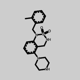 Cc1ccccc1CN1c2cccc(N3CCNCC3)c2CNS1(=O)=O